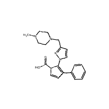 CN1CCN(Cc2ccn(-c3c(-c4ccccc4)ccn3C(=O)O)n2)CC1